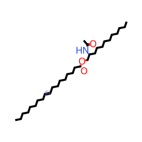 CCCCCCCC/C=C/CCCCCCCC(=O)OCC(CCCCCCCCCC)NC(C)=O